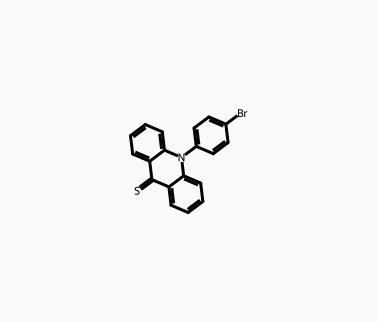 S=c1c2ccccc2n(-c2ccc(Br)cc2)c2ccccc12